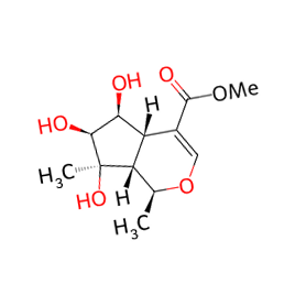 COC(=O)C1=CO[C@@H](C)[C@H]2[C@@H]1[C@H](O)[C@H](O)[C@]2(C)O